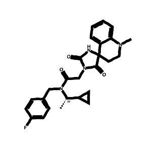 C[C@@H](C1CC1)N(Cc1ccc(F)cc1)C(=O)CN1C(=O)NC2(CCN(C)c3ccccc32)C1=O